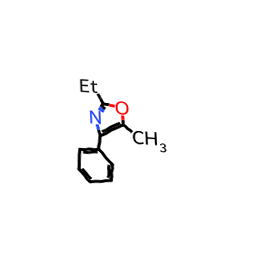 CCc1nc(-c2ccccc2)c(C)o1